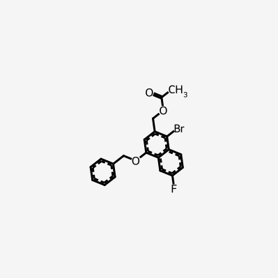 CC(=O)OCc1cc(OCc2ccccc2)c2cc(F)ccc2c1Br